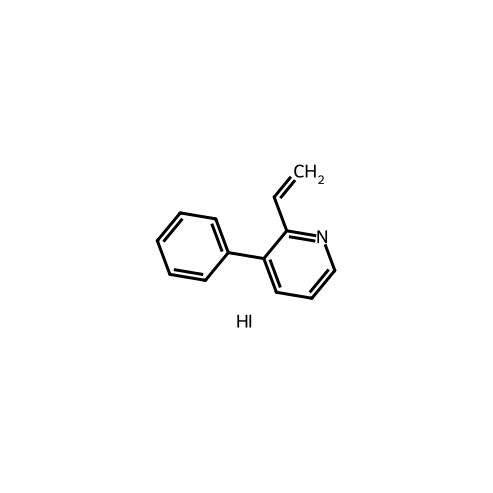 C=Cc1ncccc1-c1ccccc1.I